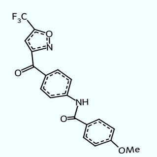 COc1ccc(C(=O)Nc2ccc(C(=O)c3cc(C(F)(F)F)on3)cc2)cc1